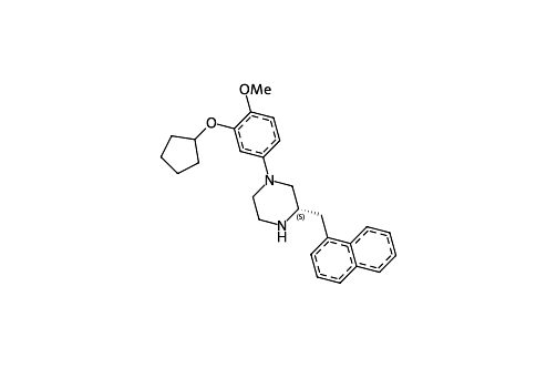 COc1ccc(N2CCN[C@@H](Cc3cccc4ccccc34)C2)cc1OC1CCCC1